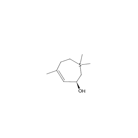 CC1=C[C@H](O)CS(C)(C)CC1